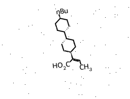 CC=C(C(=O)O)[C@H]1CC[C@H]([C@H]2CC[C@H](CCCC)CC2)CC1